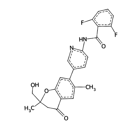 Cc1cc2c(cc1-c1ccc(NC(=O)c3c(F)cccc3F)nc1)OC(C)(CO)CC2=O